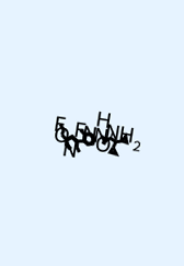 Cc1ncc(OCF)cc1-c1ccc(NC(=O)[C@@H](N)C(C2CC2)C2CC2)nc1F